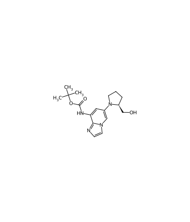 CC(C)(C)OC(=O)Nc1cc(N2CCC[C@H]2CO)cn2ccnc12